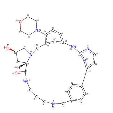 O=C1NCCCNCc2ccc(cc2)-c2ccnc(n2)Nc2ccc(N3CCOCC3)c(c2)CN2C[C@H](O)C[C@@H]12